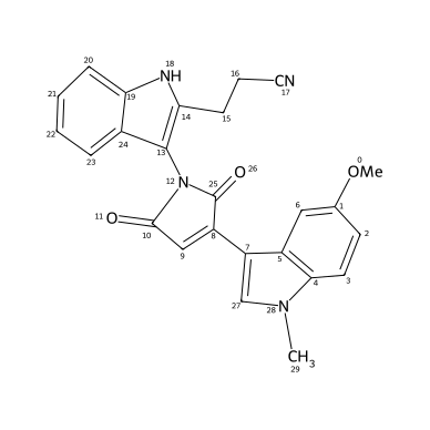 COc1ccc2c(c1)c(C1=CC(=O)N(c3c(CCC#N)[nH]c4ccccc34)C1=O)cn2C